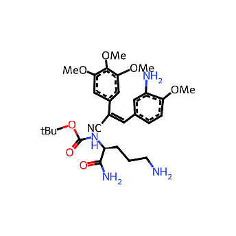 CC(C)(C)OC(=O)N[C@@H](CCCN)C(N)=O.COc1ccc(C=C(C#N)c2cc(OC)c(OC)c(OC)c2)cc1N